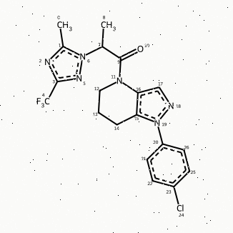 Cc1nc(C(F)(F)F)nn1C(C)C(=O)N1CCCc2c1cnn2-c1ccc(Cl)cc1